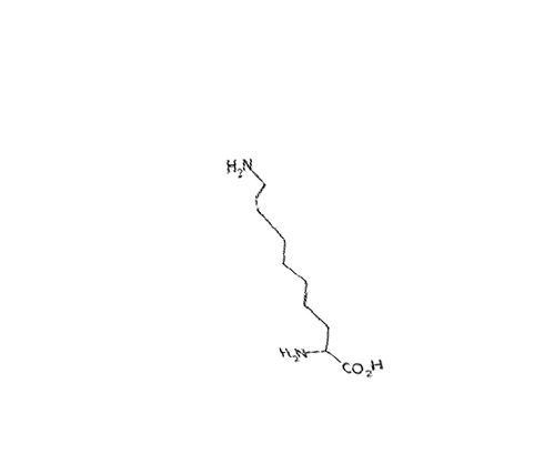 NCCCCCCCC(N)C(=O)O